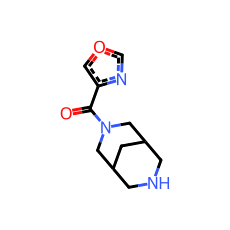 O=C(c1cocn1)N1CC2CNCC(C2)C1